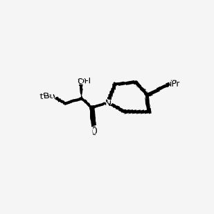 CC(C)C1CCN(C(=O)[C@H](O)CC(C)(C)C)CC1